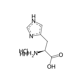 Cl.N[C@@H](Cc1c[nH]cn1)C(=O)O.[HH]